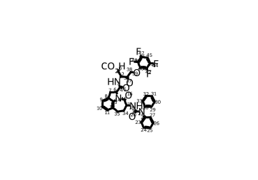 O=C(O)CC(NC(=O)C1Cc2cccc3c2N1C(=O)C(NC(=O)N(c1ccccc1)c1ccccc1)CC3)C(=O)COc1c(F)c(F)cc(F)c1F